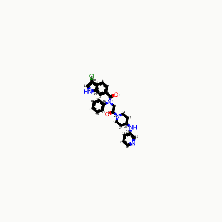 O=C(CN(C(=O)c1ccc2c(Cl)c[nH]c2c1)c1ccccc1)N1CCC(Nc2cccnc2)CC1